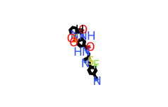 N#Cc1ccc(-c2ncc(CNC(=O)c3ccc4c(c3)NC(=O)[C@H]3CCCCN3S4(=O)=O)s2)c(F)c1